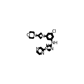 Clc1cc(Nc2ncn(-c3cnccn3)n2)cc(N2CC(N3CCOCC3)C2)c1